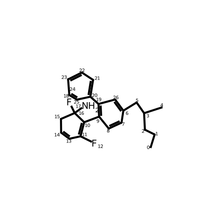 CCCC(C)Cc1ccc(C2=C(F)C=CCC2(N)F)c(-c2ccccc2)c1